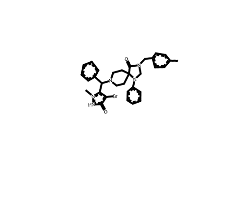 Cc1ccc(CN2CN(c3ccccc3)C3(CCN(C(c4ccccc4)c4c(Br)c(=O)[nH]n4C)CC3)C2=O)cc1